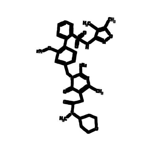 CCCCc1nc(C)c(CC(=O)N(C)C2CCOCC2)c(=O)n1Cc1ccc(-c2ccccc2S(=O)(=O)Nc2noc(C)c2C)c(OCCC)c1